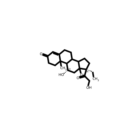 CC[C@@]1(C(=O)CO)CCC2C3CCC4=CC(=O)CCC4(C)C3[C@@H](O)CC21C